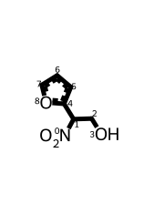 O=[N+]([O-])C(CO)c1ccco1